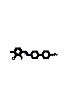 CCCC1CCC(C2CCC(/C=C/c3ccc(C)c(Cl)c3F)CC2)CC1